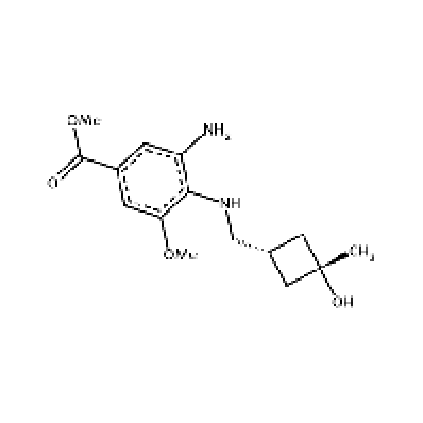 COC(=O)c1cc(N)c(NC[C@H]2C[C@@](C)(O)C2)c(OC)c1